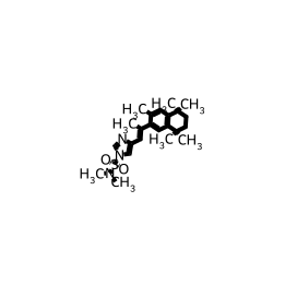 C/C(=C\c1cn(S(=O)(=O)N(C)C)cn1)c1cc2c(cc1C)C(C)(C)CCC2(C)C